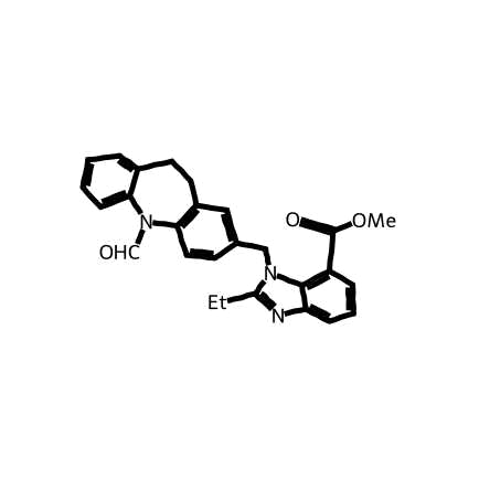 CCc1nc2cccc(C(=O)OC)c2n1Cc1ccc2c(c1)CCc1ccccc1N2C=O